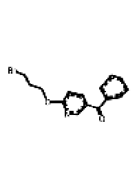 O=C(c1ccccc1)c1ccc(OCCCBr)nc1